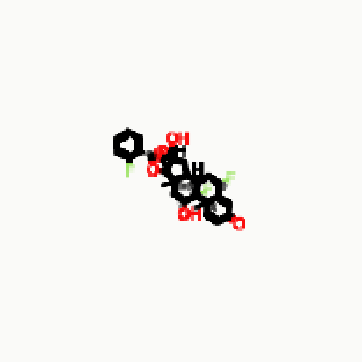 C[C@]12C=CC(=O)C=C1[C@@H](F)C[C@H]1C3C[C@H]4O[C@@H](c5ccccc5F)O[C@@]4(C(=O)CO)[C@@]3(C)C[C@H](O)[C@@]12F